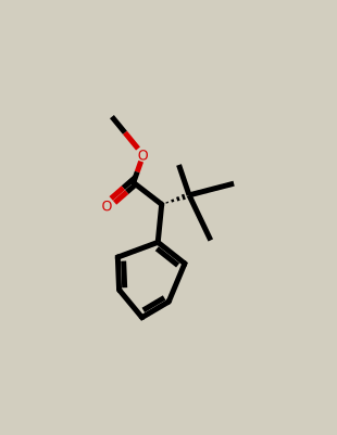 COC(=O)[C@@H](c1ccccc1)C(C)(C)C